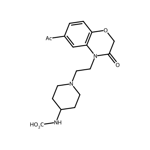 CC(=O)c1ccc2c(c1)N(CCN1CCC(NC(=O)O)CC1)C(=O)CO2